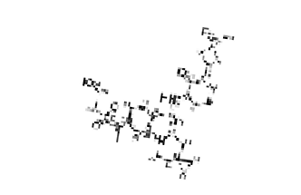 O=C(Nc1cccn(C2CC(F)(F)C2)c1=O)c1ccc(NS(=O)(=O)CCO)cc1N1CCC2(CC1)CC2